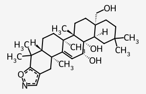 CC1(C)CC[C@]2(CO)CC[C@]3(C)[C@](O)([C@H](O)C=C4[C@@]5(C)Cc6cnoc6C(C)(C)[C@@H]5CC[C@]43C)[C@@H]2C1